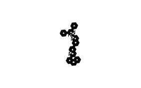 c1ccc(-c2cc(-c3ccccc3)nc(-c3ccc4ccc(-c5ccc6nc(-c7cccc8ccc9ccccc9c78)ccc6c5)cc4n3)n2)cc1